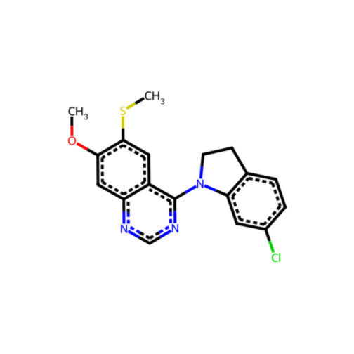 COc1cc2ncnc(N3CCc4ccc(Cl)cc43)c2cc1SC